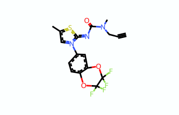 C#CCN(C)C(=O)N=c1sc(C)cn1-c1ccc2c(c1)OC(F)(F)C(F)(F)O2